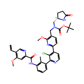 C=Cc1cnc(C(=O)Nc2cccc(-c3nccc(-c4ccc(CN(C[C@@H]5CCC(=O)N5)C(=O)OC(C)(C)C)c(OC)n4)c3Cl)c2C)cc1OC